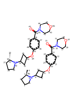 C[C@@H]1CCCN1C1CC(Oc2ccc(C(=O)N3CCOCC3)cc2)C1.C[C@H]1CCCN1C1CC(Oc2ccc(C(=O)N3CCOCC3)cc2)C1